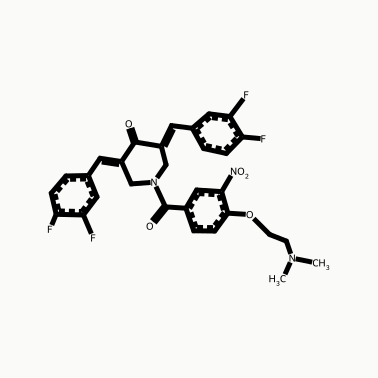 CN(C)CCOc1ccc(C(=O)N2CC(=Cc3ccc(F)c(F)c3)C(=O)C(=Cc3ccc(F)c(F)c3)C2)cc1[N+](=O)[O-]